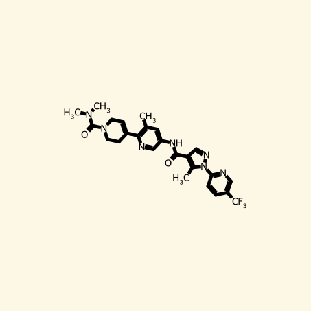 Cc1cc(NC(=O)c2cnn(-c3ccc(C(F)(F)F)cn3)c2C)cnc1C1=CCN(C(=O)N(C)C)CC1